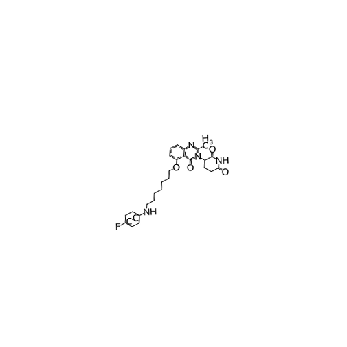 Cc1nc2cccc(OCCCCCCCNC34CCC(F)(CC3)CC4)c2c(=O)n1C1CCC(=O)NC1=O